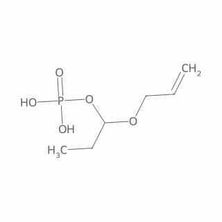 C=CCOC(CC)OP(=O)(O)O